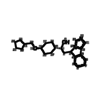 OC(CC1c2ccccc2-c2cncn21)[C@H]1CC[C@H](OCC2CCCC2)CC1